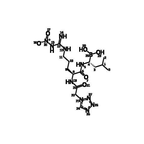 CC(C)C[C@H](NC(=O)[C@H](CCCNC(=N)N[N+](=O)[O-])NC(=O)Cn1cnnn1)B(O)O